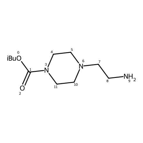 CC(C)COC(=O)N1CCN(CCN)CC1